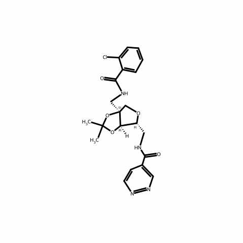 CC1(C)O[C@@H]2[C@@H](CNC(=O)c3ccnnc3)OC[C@]2(CNC(=O)c2ccccc2Cl)O1